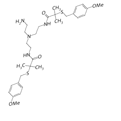 COc1ccc(CSC(C)(C)C(=O)NCCN(CCN)CCNC(=O)C(C)(C)SCc2ccc(OC)cc2)cc1